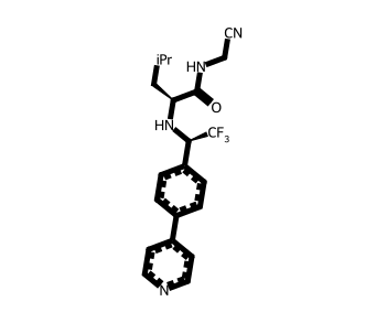 CC(C)C[C@H](N[C@H](c1ccc(-c2ccncc2)cc1)C(F)(F)F)C(=O)NCC#N